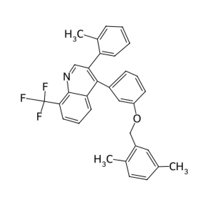 Cc1ccc(C)c(COc2cccc(-c3c(-c4ccccc4C)cnc4c(C(F)(F)F)cccc34)c2)c1